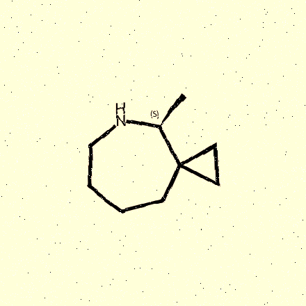 C[C@@H]1NCCCCC12CC2